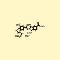 Br.CCO[C@H]1c2ccc(C(=O)NC)cc2C(=N)N1CC(=O)c1cc2c(c(C(C)(C)C)c1)OCCN2CC(=O)O